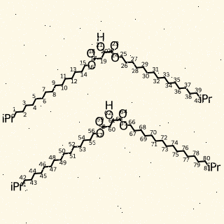 CC(C)CCCCCCCCCCCCCCCOC(=O)CC(O)C(=O)OCCCCCCCCCCCCCCCC(C)C.CC(C)CCCCCCCCCCCCCCCOC(=O)CC(O)C(=O)OCCCCCCCCCCCCCCCC(C)C